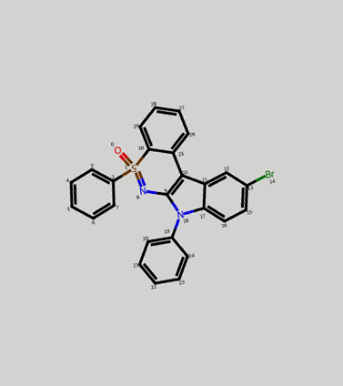 O=S1(c2ccccc2)=Nc2c(c3cc(Br)ccc3n2-c2ccccc2)-c2ccccc21